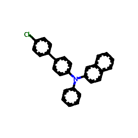 Clc1ccc(-c2ccc(N(c3ccccc3)c3ccc4ccccc4c3)cc2)cc1